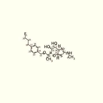 CNC1=N[C@@H]2[C@@H](O)[C@H](O)[C@@H]([C@H](C)OCc3ccc(CCCF)cc3)O[C@@H]2S1